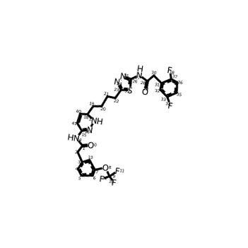 O=C(Cc1cccc(OC(F)(F)F)c1)NC1=NNC(CCCCc2nnc(NC(=O)Cc3cc(F)ccc3F)s2)C=C1